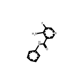 Nc1c(F)cncc1C(=O)Nc1ccccc1